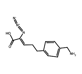 [N-]=[N+]=NC(=CCCc1ccc(CN)cc1)C(=O)O